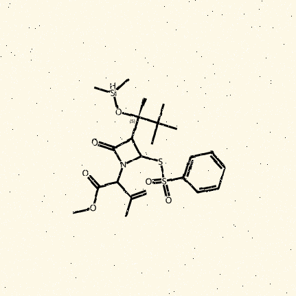 C=C(C)C(C(=O)OC)N1C(=O)C([C@](C)(O[SiH](C)C)C(C)(C)C)C1SS(=O)(=O)c1ccccc1